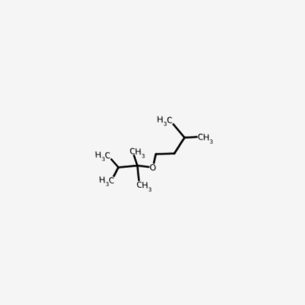 CC(C)CCOC(C)(C)C(C)C